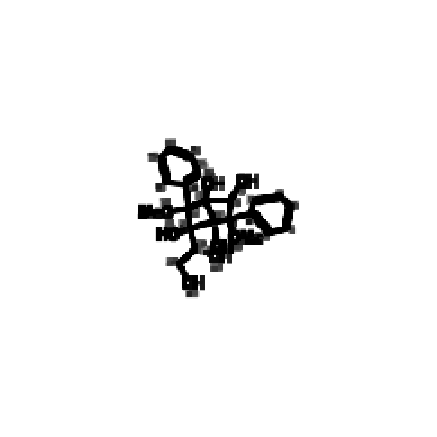 COC1(c2ccccc2)C(O)[C@@]2(O)C(OC)(c3ccccc3)[C@@](O)([C@H](O)CO)[C@@]12O